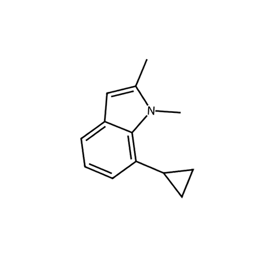 Cc1cc2cccc(C3CC3)c2n1C